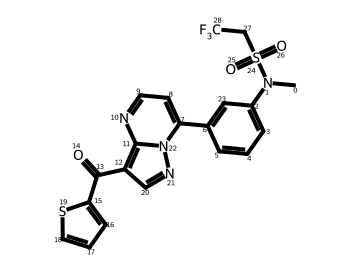 CN(c1cccc(-c2ccnc3c(C(=O)c4cccs4)cnn23)c1)S(=O)(=O)CC(F)(F)F